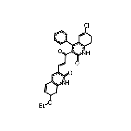 CCOC1C=Cc2cc(C=CC(=O)c3c(-c4ccccc4)c4c([nH]c3=O)CCC(Cl)=C4)c(=O)[nH]c2C1